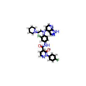 O=C(Nc1ccc(N(CCN2CCCCC2)c2ccnc3[nH]ncc23)c(F)c1)c1ccnn(-c2ccc(F)cc2)c1=O